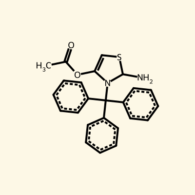 CC(=O)OC1=CSC(N)N1C(c1ccccc1)(c1ccccc1)c1ccccc1